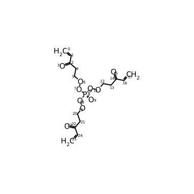 C=CC(=O)CCOOP(=O)(OOCCC(=O)C=C)OOCCC(=O)C=C